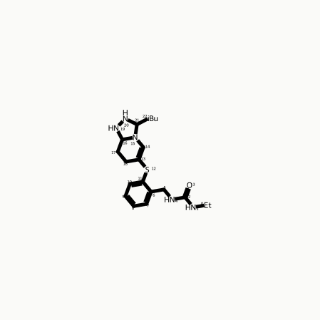 CCNC(=O)NCc1ccccc1SC1=CN2C(CC1)NNC2C(C)CC